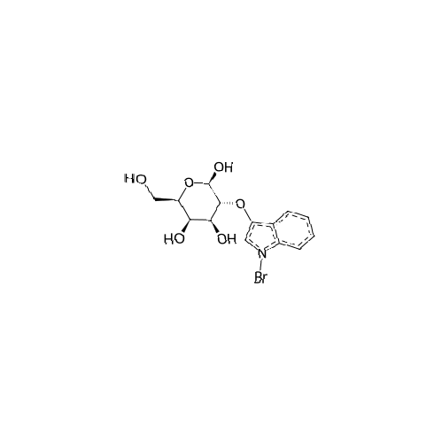 OC[C@H]1O[C@@H](O)[C@H](Oc2cn(Br)c3ccccc23)[C@@H](O)[C@H]1O